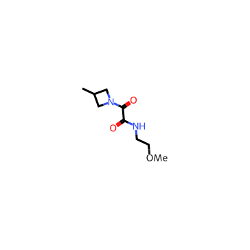 COCCNC(=O)C(=O)N1CC(C)C1